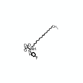 CCCCCCCCC=CCCCCCCCCNC(Nc1ccc(F)cc1)=C1C(=O)COC1=O